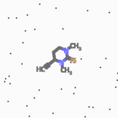 C#CC1CCN(C)C(=S)N1C